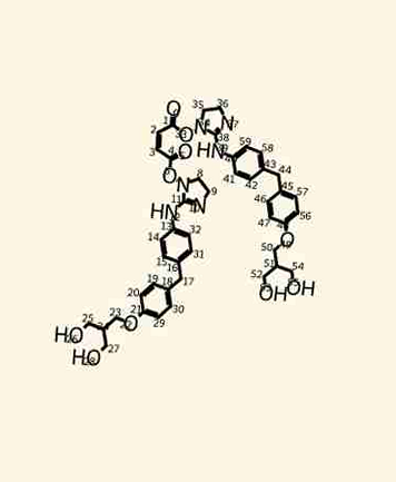 O=C(/C=C\C(=O)ON1CCN=C1Nc1ccc(Cc2ccc(OCC(CO)CO)cc2)cc1)ON1CCN=C1Nc1ccc(Cc2ccc(OCC(CO)CO)cc2)cc1